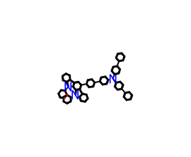 c1ccc(-c2ccc(N(c3ccc(-c4ccccc4)cc3)c3ccc(-c4ccc(-c5cc6c7ccccc7n(-c7ccccc7)c6c6c5c5ccccc5n6-c5ccccc5)cc4)cc3)cc2)cc1